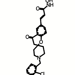 O=C(C=Cc1ccc2c(c1)C(=O)CC1(CCN(Cc3ccccc3Cl)CC1)O2)NO